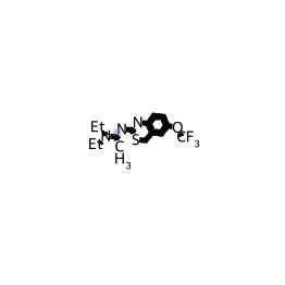 CCN(CC)/C(C)=N/C1=Nc2ccc(OC(F)(F)F)cc2CS1